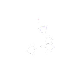 C[C@@H](Nc1c(Cl)cnc2ccc(-c3cnc(C(C)(C)O)nc3)cc12)c1cc(C(=O)O)ccc1F